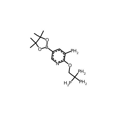 CC1(C)OB(c2cnc(OCC(P)(P)P)c(P)c2)OC1(C)C